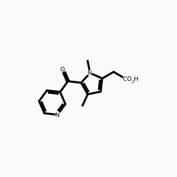 Cc1cc(CC(=O)O)n(C)c1C(=O)c1cccnc1